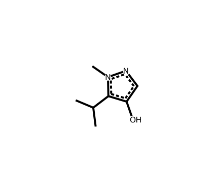 CC(C)c1c(O)cnn1C